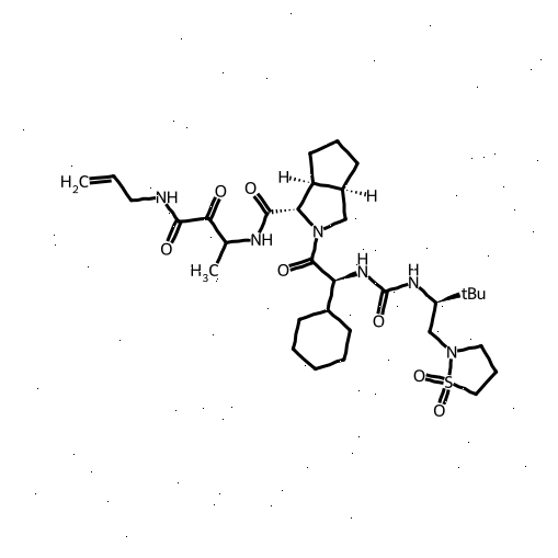 C=CCNC(=O)C(=O)C(C)NC(=O)[C@@H]1[C@H]2CCC[C@H]2CN1C(=O)[C@@H](NC(=O)N[C@H](CN1CCCS1(=O)=O)C(C)(C)C)C1CCCCC1